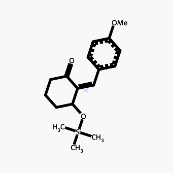 COc1ccc(/C=C2\C(=O)CCCC2O[Si](C)(C)C)cc1